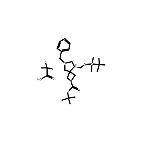 CC(C)(C)OC(=O)N1CC2(CN(Cc3ccccc3)C[C@H]2CO[Si](C)(C)C(C)(C)C)C1.O=C(O)C(F)(F)F